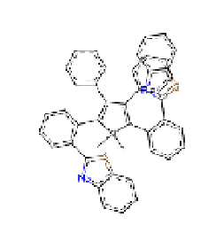 C[Si]1(C)C(c2ccccc2-c2nc3ccccc3s2)=C(c2ccccc2)C(c2ccccc2)=C1c1ccccc1-c1nc2ccccc2s1